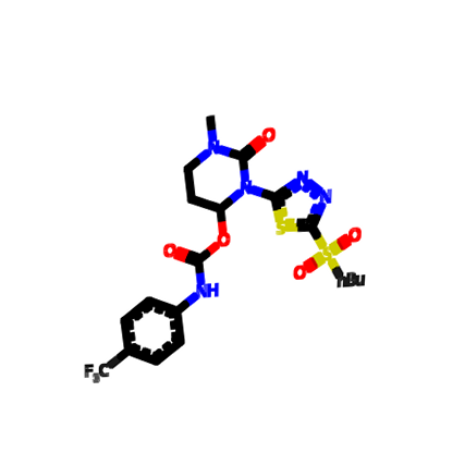 CCCCS(=O)(=O)c1nnc(N2C(=O)N(C)CCC2OC(=O)Nc2ccc(C(F)(F)F)cc2)s1